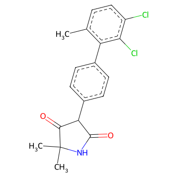 Cc1ccc(Cl)c(Cl)c1-c1ccc(C2C(=O)NC(C)(C)C2=O)cc1